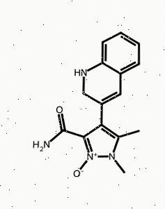 Cc1c(C2=Cc3ccccc3NC2)c(C(N)=O)[n+]([O-])n1C